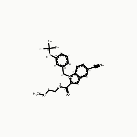 COCCNC(=O)c1cc2cc(C#N)ccc2n1Cc1cccc(OC(F)(F)F)c1